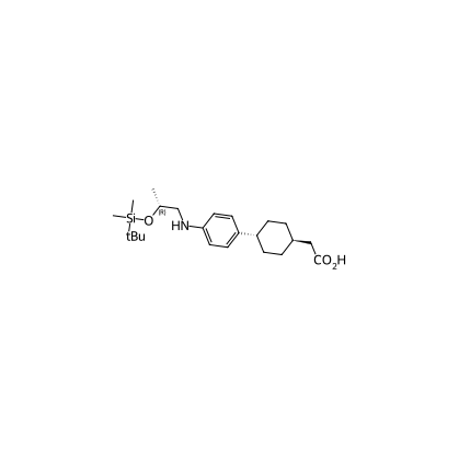 C[C@H](CNc1ccc([C@H]2CC[C@H](CC(=O)O)CC2)cc1)O[Si](C)(C)C(C)(C)C